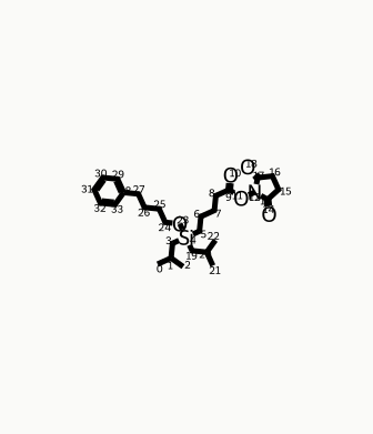 CC(C)C[Si](CCCCC(=O)ON1C(=O)CCC1=O)(CC(C)C)OCCCCc1ccccc1